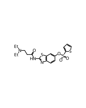 CCN(CC)CCC(=O)Nc1nc2ccc(OS(=O)(=O)c3cccs3)cc2s1